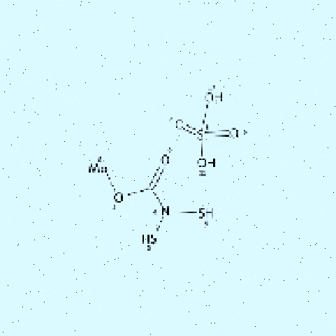 O=C([O][Mo])N(S)S.O=S(=O)(O)O